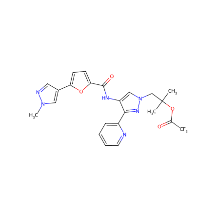 Cn1cc(-c2ccc(C(=O)Nc3cn(CC(C)(C)OC(=O)C(F)(F)F)nc3-c3ccccn3)o2)cn1